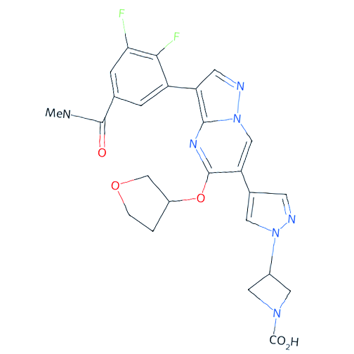 CNC(=O)c1cc(F)c(F)c(-c2cnn3cc(-c4cnn(C5CN(C(=O)O)C5)c4)c(OC4CCOC4)nc23)c1